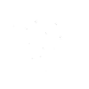 CC(C)(COCC(=O)O)OCC1CCCN1c1cnc(-c2ccccc2)c(-c2ccccc2)n1